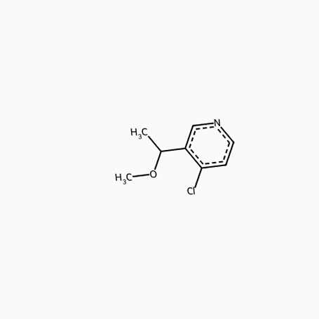 COC(C)c1cnccc1Cl